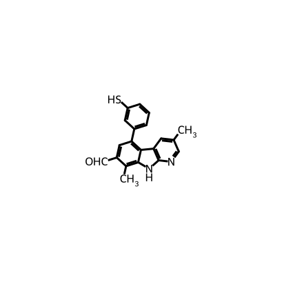 Cc1cnc2[nH]c3c(C)c(C=O)cc(-c4cccc(S)c4)c3c2c1